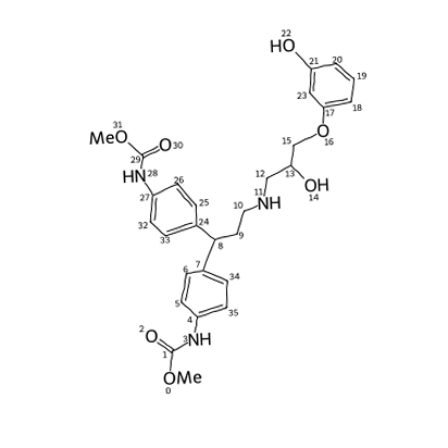 COC(=O)Nc1ccc(C(CCNCC(O)COc2cccc(O)c2)c2ccc(NC(=O)OC)cc2)cc1